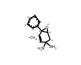 C.NC1(N)C=CC2(c3ccccc3)OC2C1